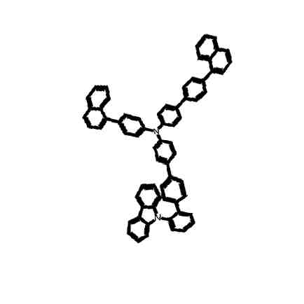 c1ccc(-n2c3ccccc3c3ccccc32)c(-c2ccc(-c3ccc(N(c4ccc(-c5ccc(-c6cccc7ccccc67)cc5)cc4)c4ccc(-c5cccc6ccccc56)cc4)cc3)cc2)c1